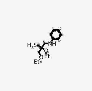 CCOCC([SiH3])(CNc1ccccc1)OCC